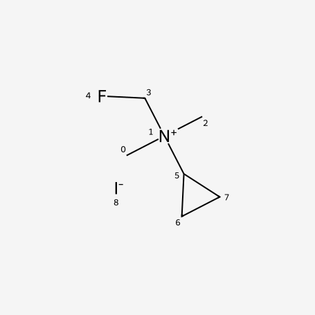 C[N+](C)(CF)C1CC1.[I-]